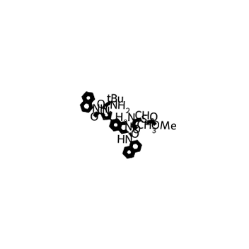 COC(=O)CSC(C)(C)[C@H](N)C(=O)N1Cc2cc([C@H]3C[C@@H](C(=O)N[C@@H]4CCCc5ccccc54)N(C(=O)[C@@H](N)C(C)(C)C)C3)ccc2C[C@H]1C(=O)N[C@@H]1CCCc2ccccc21